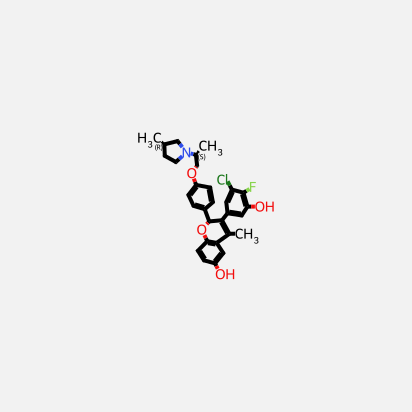 CC1=C(c2cc(O)c(F)c(Cl)c2)C(c2ccc(OC[C@H](C)N3CC[C@@H](C)C3)cc2)Oc2ccc(O)cc21